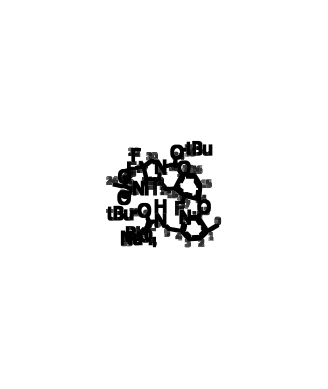 Cc1ccc(CNC(=O)OC(C)(C)C)nc1Oc1cccc(C[C@H]2[C@@H](NS(C)(=O)=O)C(F)(F)CN2C(=O)OC(C)(C)C)c1F.[BH4-].[Na+]